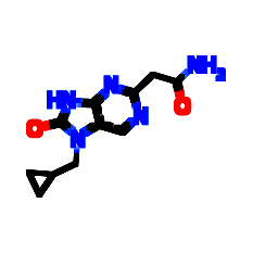 NC(=O)Cc1ncc2c(n1)[nH]c(=O)n2CC1CC1